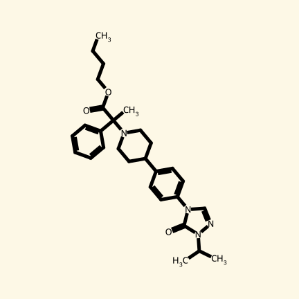 CCCCOC(=O)C(C)(c1ccccc1)N1CCC(c2ccc(-n3cnn(C(C)C)c3=O)cc2)CC1